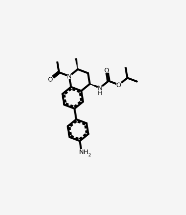 CC(=O)N1c2ccc(-c3ccc(N)cc3)cc2[C@H](NC(=O)OC(C)C)C[C@@H]1C